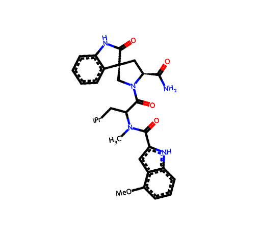 COc1cccc2[nH]c(C(=O)N(C)C(CC(C)C)C(=O)N3C[C@]4(C[C@H]3C(N)=O)C(=O)Nc3ccccc34)cc12